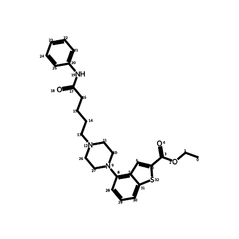 CCOC(=O)c1cc2c(N3CCN(CCCCC(=O)Nc4ccccc4)CC3)cccc2s1